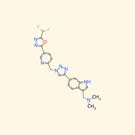 CN(C)Cc1c[nH]c2cc(-c3cn(Cc4ccc(-c5nnc(C(F)F)o5)cn4)nn3)ccc12